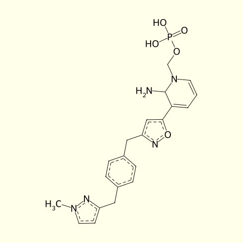 Cn1ccc(Cc2ccc(Cc3cc(C4=CC=CN(COP(=O)(O)O)C4N)on3)cc2)n1